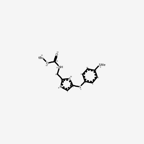 CSc1ccc(Sc2cnc(CNC(=O)OC(C)(C)C)s2)cc1